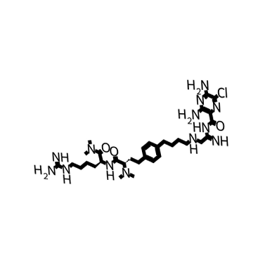 CN(C)C(=O)[C@H](CCCCNC(=N)N)NC(=O)[C@H](CCc1ccc(CCCCNCC(=N)NC(=O)c2nc(Cl)c(N)nc2N)cc1)N(C)C